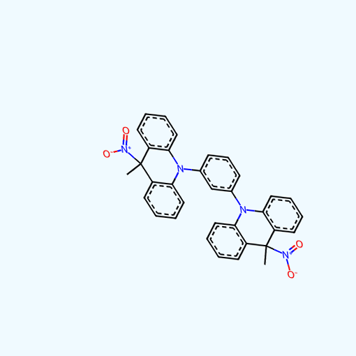 CC1([N+](=O)[O-])c2ccccc2N(c2cccc(N3c4ccccc4C(C)([N+](=O)[O-])c4ccccc43)c2)c2ccccc21